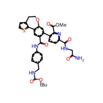 COC(=O)c1nc(C(=O)NCC(N)=O)ccc1-c1cc2c(cc1C(=O)Nc1ccc(CNC(=O)OC(C)(C)C)cc1)-c1sccc1CCO2